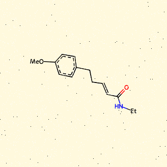 CCNC(=O)/C=C/CCc1ccc(OC)cc1